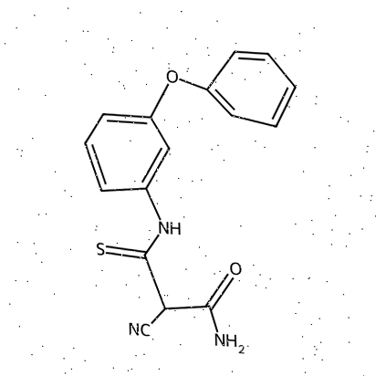 N#CC(C(N)=O)C(=S)Nc1cccc(Oc2ccccc2)c1